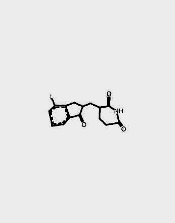 O=C1CCC(CC2Cc3c(I)cccc3C2=O)C(=O)N1